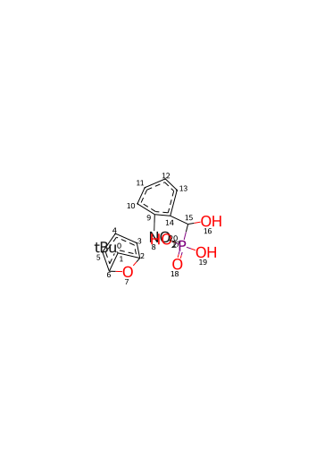 CC(C)(C)c1c2cccc1O2.O=[N+]([O-])c1ccccc1C(O)P(=O)(O)O